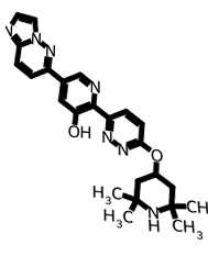 CC1(C)CC(Oc2ccc(-c3ncc(-c4ccc5nccn5n4)cc3O)nn2)CC(C)(C)N1